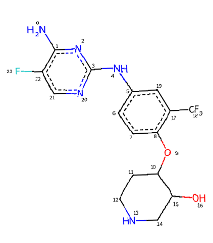 Nc1nc(Nc2ccc(OC3CCNCC3O)c(C(F)(F)F)c2)ncc1F